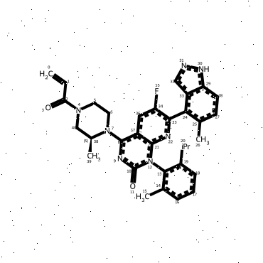 C=CC(=O)N1CCN(c2nc(=O)n(-c3c(C)cccc3C(C)C)c3nc(-c4c(C)ccc5[nH]ncc45)c(F)cc23)[C@@H](C)C1